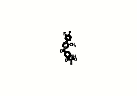 C[C@H]1CN(C(=O)C2CCC3(CC2)NC(=O)NC3=O)CCN1c1ccc(F)c(F)c1